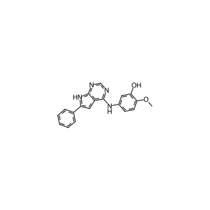 COc1ccc(Nc2ncnc3[nH]c(-c4ccccc4)cc23)cc1O